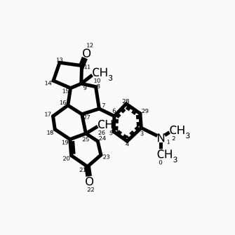 CN(C)c1ccc(C2CC3(C)C(=O)CCC3C3CCC4=CC(=O)CCC4(C)C23)cc1